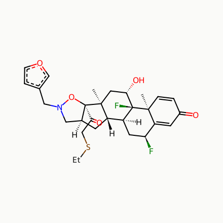 CCSCC(=O)[C@@]12ON(Cc3ccoc3)C[C@@H]1C[C@H]1[C@@H]3C[C@H](F)C4=CC(=O)C=C[C@]4(C)[C@@]3(F)[C@@H](O)C[C@@]12C